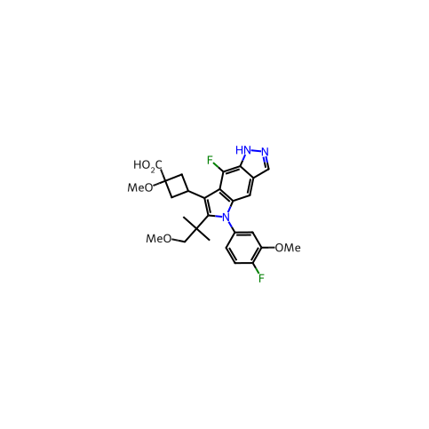 COCC(C)(C)c1c(C2CC(OC)(C(=O)O)C2)c2c(F)c3[nH]ncc3cc2n1-c1ccc(F)c(OC)c1